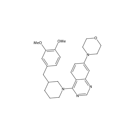 COc1ccc(CC2CCCN(c3ncnc4cc(N5CCOCC5)ccc34)C2)cc1OC